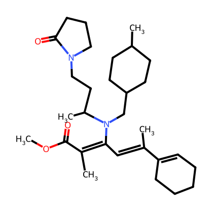 COC(=O)/C(C)=C(/C=C(\C)C1=CCCCC1)N(CC1CCC(C)CC1)C(C)CCN1CCCC1=O